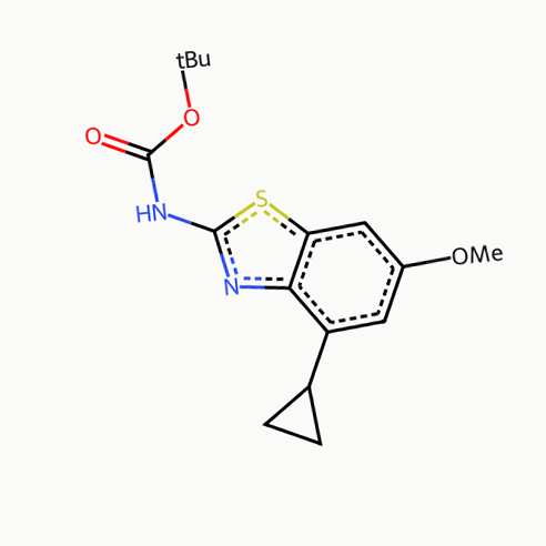 COc1cc(C2CC2)c2nc(NC(=O)OC(C)(C)C)sc2c1